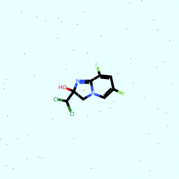 OC1(C(Cl)Cl)CN2C=C(F)C=C(F)C2=N1